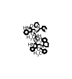 CC(C)(C)NC(=O)N(Cc1cc2ccccc2[nH]c1=O)CC(c1ccccc1)N1CCCCC1.Cc1ccccc1C(=O)N(Cc1cc2ccccc2[nH]c1=O)C1CCCc2ccccc21